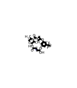 CC1COCC(C)N1C(=O)N1CC(Oc2cccc(C(F)(F)F)c2)C1.O=C(O)/C=C/C(=O)O